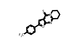 FC(F)(F)c1ccc(-c2cc3c(=S)n4c(nc3o2)CCCC4)cc1